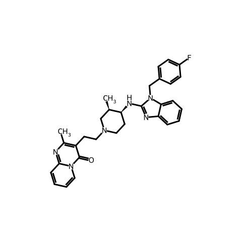 Cc1nc2ccccn2c(=O)c1CCN1CC[C@H](Nc2nc3ccccc3n2Cc2ccc(F)cc2)[C@H](C)C1